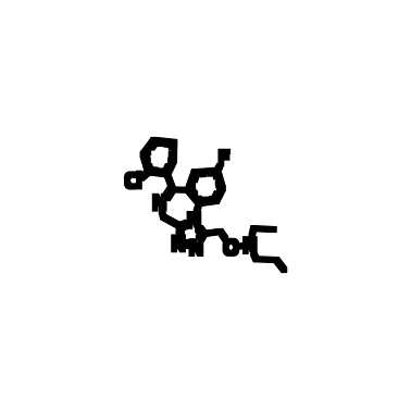 CCCN(CC)OCc1nnc2n1-c1ccc(F)cc1C(c1ccccc1Cl)=NC2